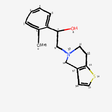 COc1ccccc1C(O)CN1CCc2sccc2C1